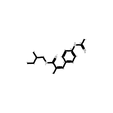 CCC(C)COC(=O)C(C)=Cc1ccc(OC(C)=O)cc1